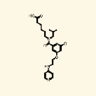 CC(C)CN(CCCCCC(=O)O)C(=O)c1cc(Cl)cc(OCCNc2ccncc2)c1